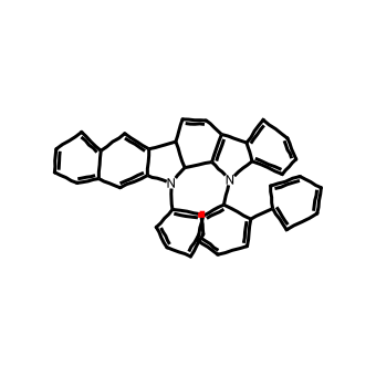 C1=CC2c3cc4ccccc4cc3N(c3ccccc3)C2c2c1c1ccccc1n2-c1ccccc1-c1ccccc1